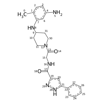 Cc1ccc(N)cc1NC1CCN(C(=O)CNC(=O)c2cc(-c3ccccc3)[nH]n2)CC1